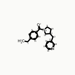 CCc1ccc(C(=O)N2CCC(Cc3cccnc3)C2)cc1